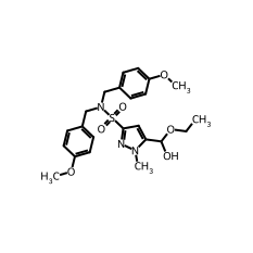 CCOC(O)c1cc(S(=O)(=O)N(Cc2ccc(OC)cc2)Cc2ccc(OC)cc2)nn1C